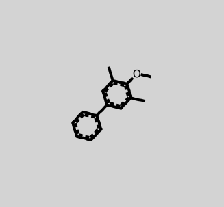 COc1c(C)cc(-c2ccccc2)cc1C